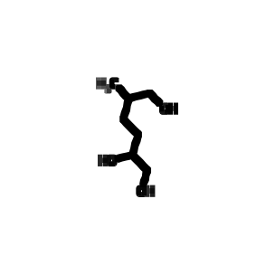 CC(CO)CCC(O)CO